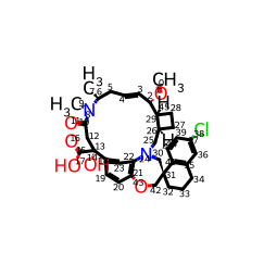 CO[C@H]1/C=C/C[C@H](C)N(C)C(=O)C[C@](O)(C(=O)O)c2ccc3c(c2)N(C[C@@H]2CC[C@H]21)C[C@@]1(CCCc2cc(Cl)ccc21)CO3